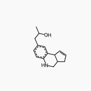 CC(O)Cc1ccc2c(c1)C1C=CCC1CN2